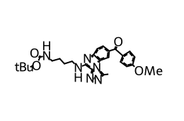 COc1ccc(C(=O)c2ccc3nc(NCCCCNC(=O)OC(C)(C)C)c4nnc(C)n4c3c2)cc1